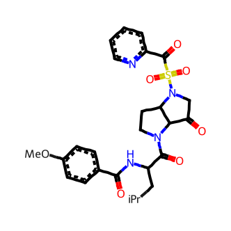 COc1ccc(C(=O)NC(CC(C)C)C(=O)N2CCC3C2C(=O)CN3S(=O)(=O)C(=O)c2ccccn2)cc1